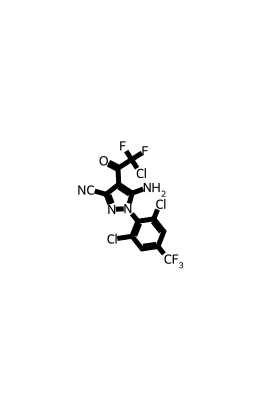 N#Cc1nn(-c2c(Cl)cc(C(F)(F)F)cc2Cl)c(N)c1C(=O)C(F)(F)Cl